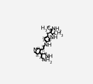 CC(=N)/C(Cc1ccc(N/C=C/c2cnccc2/C(C=N)=C/N)cc1)=C(/C)N